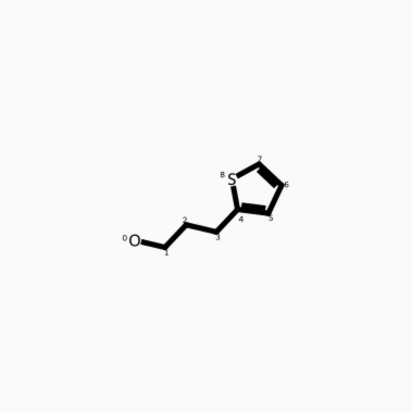 [O]CCCc1cccs1